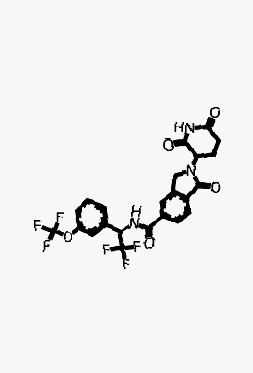 O=C1CCC(N2Cc3cc(C(=O)N[C@H](c4cccc(OC(F)(F)F)c4)C(F)(F)F)ccc3C2=O)C(=O)N1